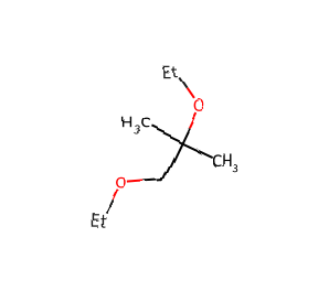 CCOCC(C)(C)OCC